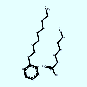 CCCCCCCCCc1ccccc1.O=C(O)CCCCCO